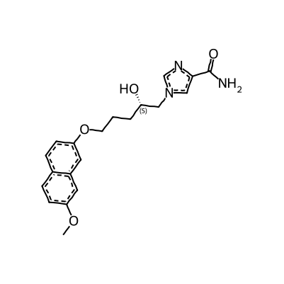 COc1ccc2ccc(OCCC[C@H](O)Cn3cnc(C(N)=O)c3)cc2c1